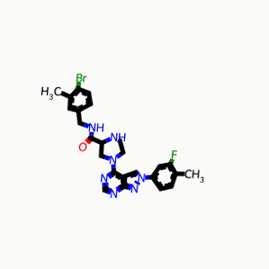 Cc1ccc(-n2cc3c(N4CCNC(C(=O)NCc5ccc(Br)c(C)c5)C4)ncnc3n2)cc1F